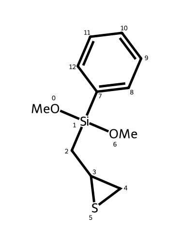 CO[Si](CC1CS1)(OC)c1ccccc1